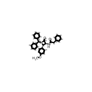 COc1ccc([C@@H]2[C@H](NC(=O)Cc3ccccc3)C(=O)N2C(c2ccccc2)c2ccccc2)cc1